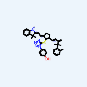 C=C(/C=C/C1=C(Sc2nnnn2-c2ccc(O)cc2)C(=C/C=C2/N(C)c3ccccc3C2(C)C)/CC1)C(C)(C)c1ccccc1C